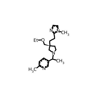 CCOC[C@@]1(CCc2nccn2C)CCN(C(C)c2ccc(C)nc2)C1